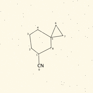 N#CC1CCCC2(CC2)C1